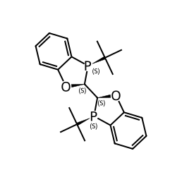 CC(C)(C)[P@]1c2ccccc2O[C@@H]1[C@H]1Oc2ccccc2[P@@]1C(C)(C)C